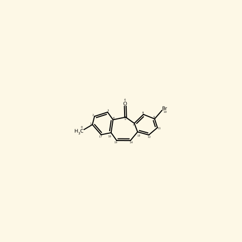 Cc1ccc2c(=O)c3cc(Br)ccc3ccc2c1